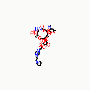 CC[C@H]1OC(=O)[C@H](C)[C@@H](O[C@H]2C[C@@](C)(OC)[C@@H](OC(=O)CCN3CCN(CCCN4CCCCC4)CC3)[C@H](C)O2)[C@H](C)[C@@H](O[C@@H]2O[C@H](C)C[C@H](N(C)C)[C@H]2O)[C@](C)(OC)C[C@@H](C)C(=O)N[C@H](C)[C@@H](O)[C@]1(C)O